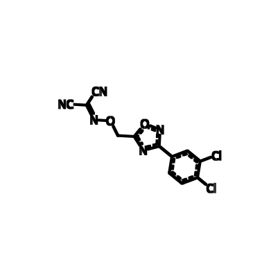 N#CC(C#N)=NOCc1nc(-c2ccc(Cl)c(Cl)c2)no1